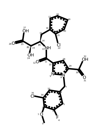 COc1c(F)cc(Cn2nc(C(=O)N[C@H](Cc3ccccc3Cl)[C@@H](O)C(=O)O)cc2C(=O)O)cc1Cl